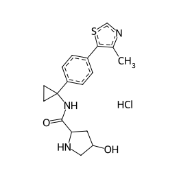 Cc1ncsc1-c1ccc(C2(NC(=O)C3CC(O)CN3)CC2)cc1.Cl